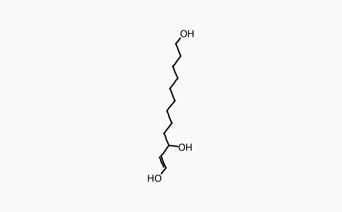 OC=CC(O)CCCCCCCCCO